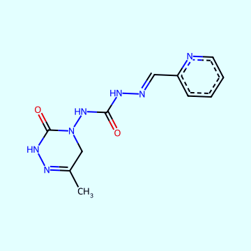 CC1=NNC(=O)N(NC(=O)N/N=C/c2ccccn2)C1